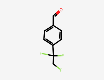 O=Cc1ccc(C(F)(F)CF)cc1